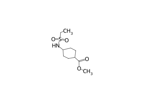 CCS(=O)(=O)NC1CCC(C(=O)OC)CC1